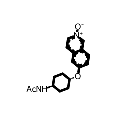 CC(=O)N[C@H]1CC[C@H](Oc2ccc3c[n+]([O-])ccc3c2)CC1